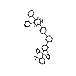 CC1(C)c2ccccc2C2(c3ccccc3-c3cc(-c4cccc(-c5ccc(-c6nnc(-c7ccccc7)c(-c7ccccc7)n6)cc5)c4)ccc32)c2ccccc21